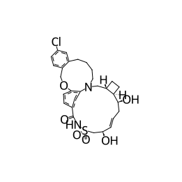 O=C1NS(=O)(=O)C[C@H](O)/C=C/C[C@H](O)[C@@H]2CC[C@H]2CN2CCCCc3cc(Cl)ccc3COc3ccc1cc32